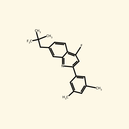 Cc1cc(C)cc(-c2cc(F)c3ccc(CC(C)(C)C(F)(F)F)cc3n2)c1